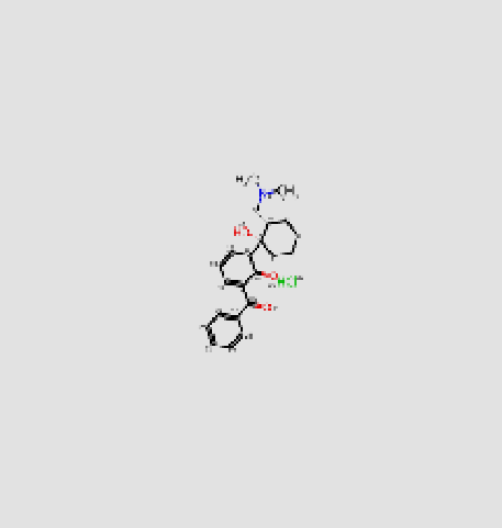 CN(C)C[C@@H]1CCCC[C@@]1(O)C1C=CC=C(C(=O)c2ccccc2)C1=O.Cl